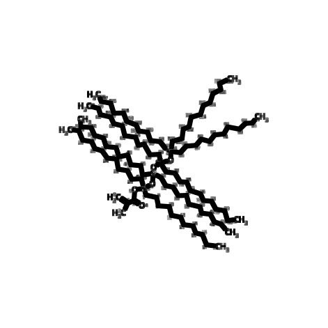 C=C(C)C(=O)O[Si](CCCCCCCCCCCC)(CCCCCCCCCCCC)O[Si](CCCCCCCCCCCC)(CCCCCCCCCCCC)O[Si](CCCCCCCCCCCC)(CCCCCCCCCCCC)O[Si](CCCCCCCCCCCC)(CCCCCCCCCCCC)CCCCCCCCCCCC